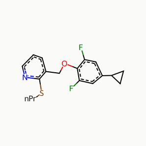 CCCSc1ncccc1COc1c(F)cc(C2CC2)cc1F